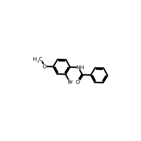 COc1ccc(NC(=O)c2ccccc2)c(Br)c1